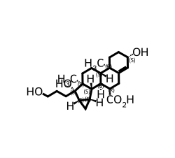 C[C@]12CC[C@H](O)C=C1C[C@@H](C(=O)O)[C@H]1[C@@H]3[C@@H]4C[C@@H]4[C@@](O)(CCCO)[C@@]3(C)CC[C@@H]12